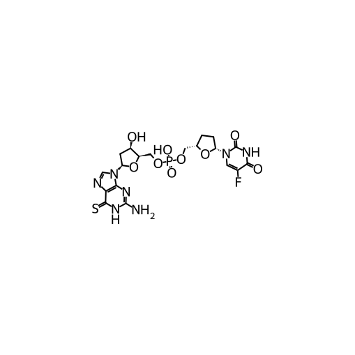 Nc1nc2c(ncn2[C@H]2C[C@@H](O)[C@@H](COP(=O)(O)OC[C@@H]3CC[C@H](n4cc(F)c(=O)[nH]c4=O)O3)O2)c(=S)[nH]1